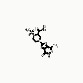 CCNC(=O)C1CN(c2nc3c(C)n[nH]c(=O)c3s2)CCN1S(C)(=O)=O